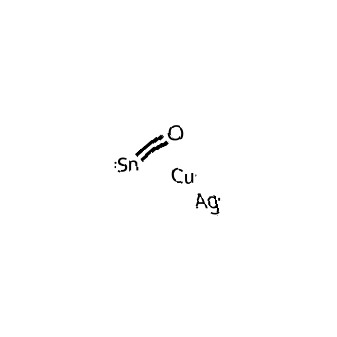 [Ag].[Cu].[O]=[Sn]